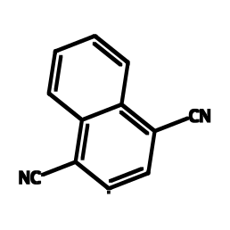 N#Cc1[c]cc(C#N)c2ccccc12